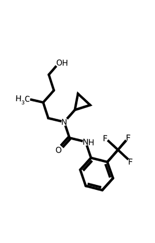 CC(CCO)CN(C(=O)Nc1ccccc1C(F)(F)F)C1CC1